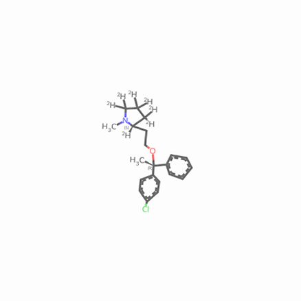 [2H]C1([2H])N(C)[C@@]([2H])(CCO[C@](C)(c2ccccc2)c2ccc(Cl)cc2)C([2H])([2H])C1([2H])[2H]